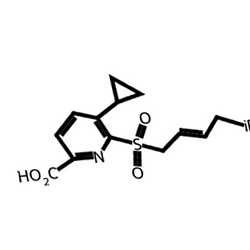 CC(C)CC=CCS(=O)(=O)c1nc(C(=O)O)ccc1C1CC1